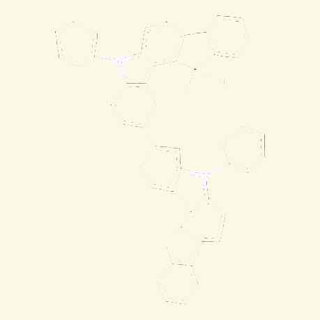 CC1(C)c2ccccc2-c2ccc3c(c21)c1cc(-c2ccc4c5c6oc7ccccc7c6ccc5n(-c5ccccc5)c4c2)ccc1n3-c1ccccc1